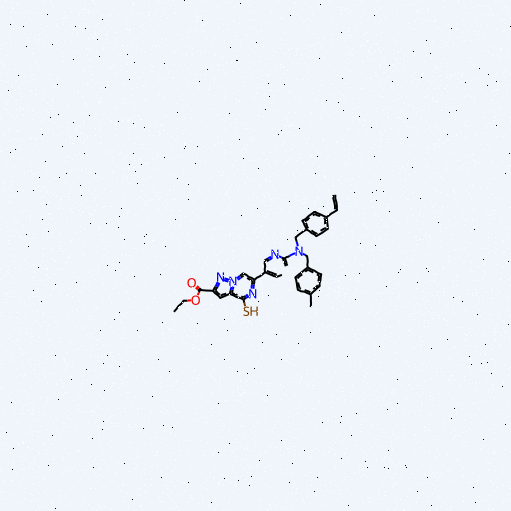 C=Cc1ccc(CN(Cc2ccc(C)cc2)C(=C)/N=C\C(=C/C)c2cn3nc(C(=O)OCC)cc3c(S)n2)cc1